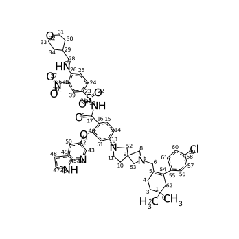 CC1(C)CCC(CN2CC3(CCN(c4ccc(C(=O)NS(=O)(=O)c5ccc(NCC6CCOCC6)c([N+](=O)[O-])c5)c(Oc5cnc6[nH]ccc6c5)c4)C3)C2)=C(c2ccc(Cl)cc2)C1